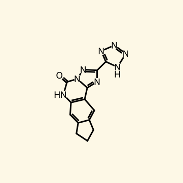 O=c1[nH]c2cc3c(cc2c2nc(-c4nnn[nH]4)nn12)CCC3